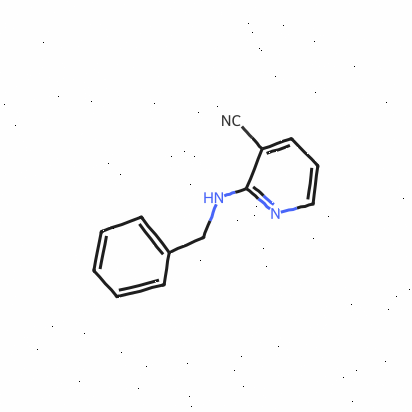 N#Cc1cccnc1NCc1ccccc1